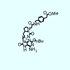 CCCCOc1nc(N)c2[nH]c(=O)n(CCCC3CCN(CC(=O)NCc4ccc(CC(=O)OC)cc4)[C@@H]3C(N)=O)c2n1